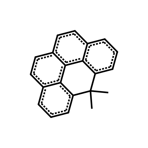 CC1(C)c2cccc3ccc4ccc5cccc1c5c4c23